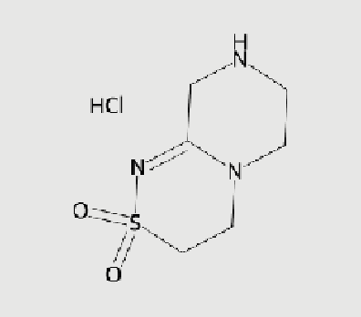 Cl.O=S1(=O)CCN2CCNCC2=N1